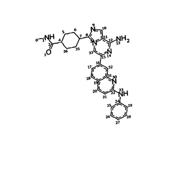 CNC(=O)C1CCC(c2ncc3c(N)nc(-c4ccc5ccc(Nc6ccccc6)nc5c4)cn23)CC1